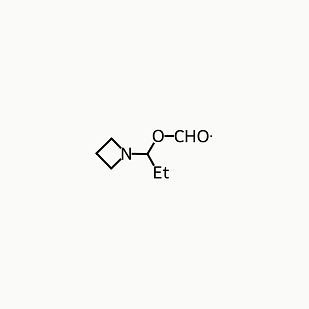 CCC(O[C]=O)N1CCC1